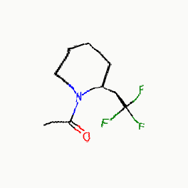 CC(=O)N1CCCC[C@H]1C(F)(F)F